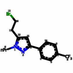 CCCn1nc(-c2ccc(C(F)(F)F)cc2)cc1CCBr